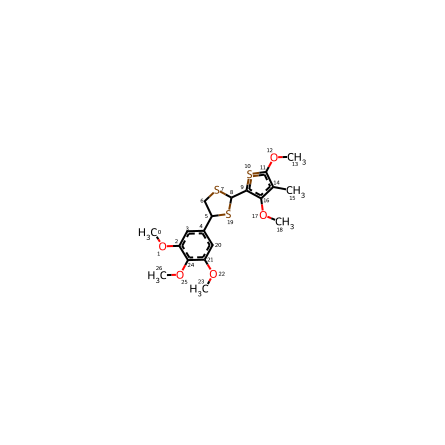 COc1cc(C2CSC(c3sc(OC)c(C)c3OC)S2)cc(OC)c1OC